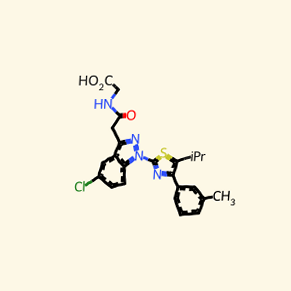 Cc1cccc(-c2nc(-n3nc(CC(=O)NCC(=O)O)c4cc(Cl)ccc43)sc2C(C)C)c1